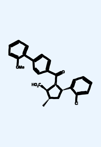 COc1ccccc1-c1ccc(C(=O)N2[C@H](C(=O)O)[C@@H](C)C[C@H]2c2ccccc2Cl)cc1